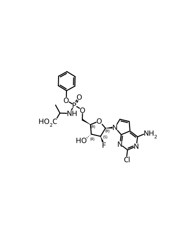 CC(NP(=O)(OC[C@H]1O[C@@H](n2ccc3c(N)nc(Cl)nc32)[C@@H](F)[C@@H]1O)Oc1ccccc1)C(=O)O